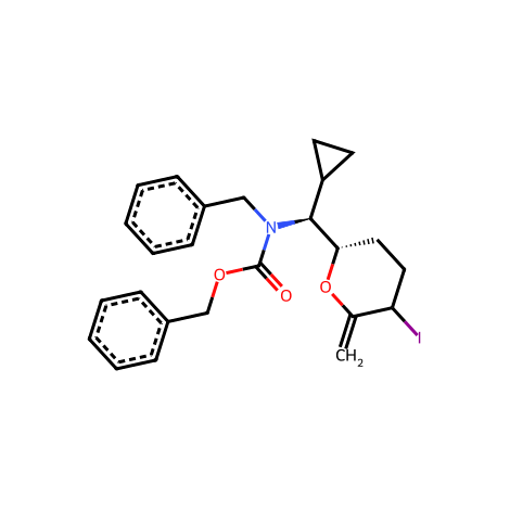 C=C1O[C@H]([C@H](C2CC2)N(Cc2ccccc2)C(=O)OCc2ccccc2)CCC1I